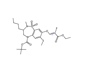 CCCCC1CN(C(=O)OC(C)(C)C)c2cc(SC)c(O/C=C(\F)C(=O)OCC)cc2S(=O)(=O)N1C